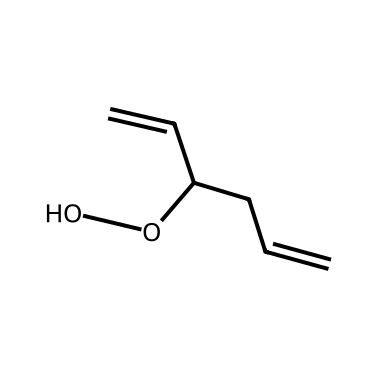 C=CCC(C=C)OO